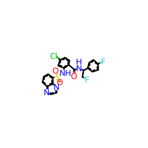 O=C(NC(CF)c1ccc(F)cc1)c1ccc(Cl)cc1NS(=O)(=O)c1cccc2nccnc12